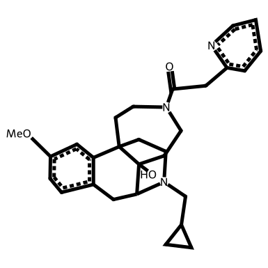 COc1ccc2c(c1)C13CCN(C(=O)Cc4ccccn4)CCC1(O)C(C2)N(CC1CC1)CC3